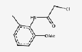 COc1cccc(C)c1NC(=O)CCl